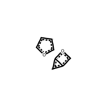 [c]1c2coc1-2.[c]1ccoc1